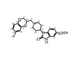 COc1ccc2c(c1)[nH]c(=O)n2C1CCN(CC2COc3ccc(F)cc3O2)CC1